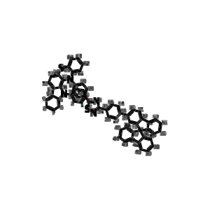 c1ccc(-n2c3ccccc3c3ccc4c(c32)N(c2ccc(-c3nc(-c5ccc(-c6ccc7c(c6)C6(c8ccccc8-c8ccccc86)c6ccccc6-7)cc5)ns3)cc2)c2ccccc2S4)cc1